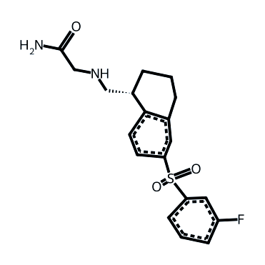 NC(=O)CNC[C@@H]1CCCc2cc(S(=O)(=O)c3cccc(F)c3)ccc21